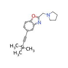 C[Si](C)(C)C#Cc1ccc2oc(CN3CCCC3)nc2c1